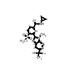 Cn1c(-c2nc(C(=O)NC3CC3)ccc2S(C)(=O)=O)nc2cc(C(F)(F)C(F)(F)F)nnc21